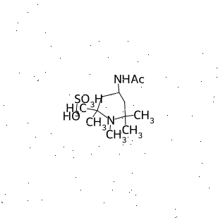 CC(=O)NC1CC(C)(C)N(C)C(C)(C)C1.O=S(=O)(O)O